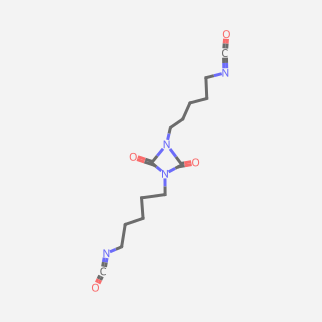 O=C=NCCCCCN1C(=O)N(CCCCCN=C=O)C1=O